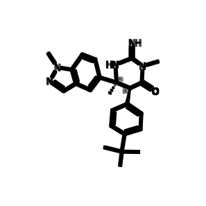 CN1C(=N)N[C@](C)(c2ccc3c(cnn3C)c2)[C@H](c2ccc(C(C)(C)C)cc2)C1=O